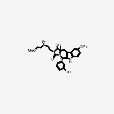 CCN(CCOC)CCN1C(=O)N2[C@H](c3cccc(O)c3)c3[nH]c4ccc(OC)cc4c3C[C@@]2(C)C1O